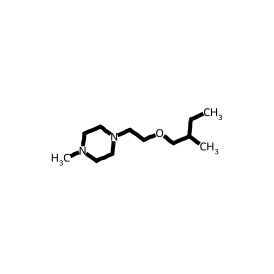 CCC(C)COCCN1CCN(C)CC1